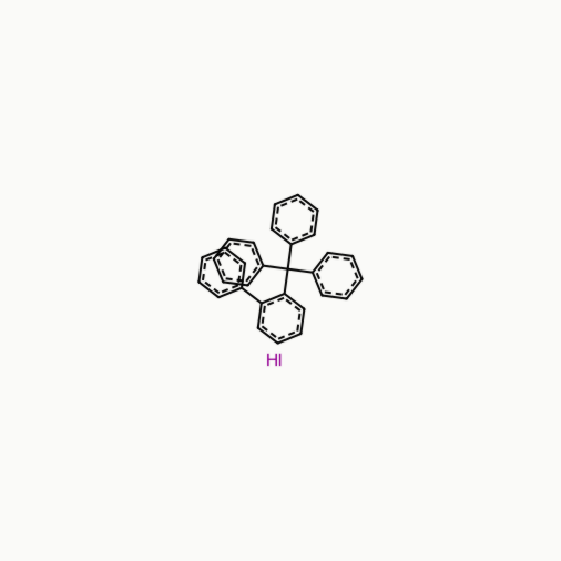 I.c1ccc(-c2ccccc2C(c2ccccc2)(c2ccccc2)c2ccccc2)cc1